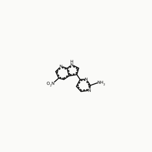 Nc1nccc(-c2c[nH]c3ncc([N+](=O)[O-])cc23)n1